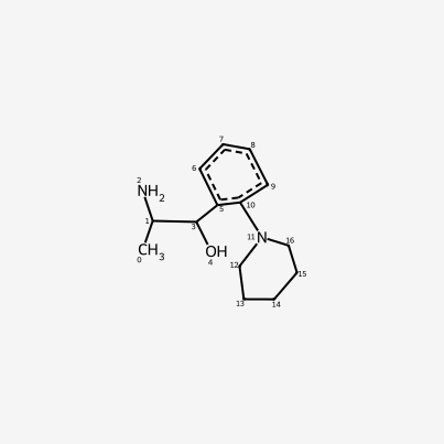 CC(N)C(O)c1ccccc1N1CCCCC1